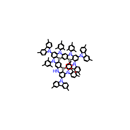 Cc1cc(C)c(N2c3cc4c(cc3B3c5cc6c(cc5N(c5c(C)cc(C)cc5C)c5cc(-n7c8ccc(C)cc8c8cc(C)ccc87)cc2c53)N(c2c(C)cc(C)cc2C)c2cc(-n3c5ccc(C)cc5c5cc(C)ccc53)cc3c2B6c2cc(C)cc5c6cc(C)ccc6n-3c25)B2c3c(cc(-n5c6ccc(C)cc6c6cc(C)ccc65)cc3-n3c5ccc(C)cc5c5cc(C)cc2c53)N4)c(C)c1